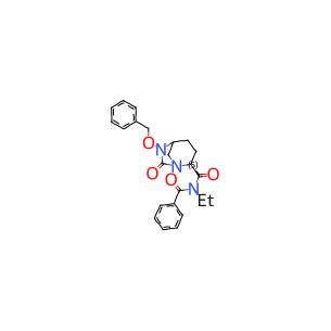 CCN(C(=O)c1ccccc1)C(=O)[C@@H]1CCC2CN1C(=O)N2OCc1ccccc1